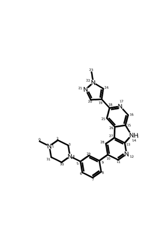 CN1CCN(c2cccc(-c3cnc4[nH]c5cnc(-c6cnn(C)c6)cc5c4c3)c2)CC1